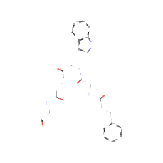 O=CCNC(=O)CNC(=O)[C@H](Cc1c[nH]c2ccccc12)NC(=O)CNC(=O)CCc1ccccc1